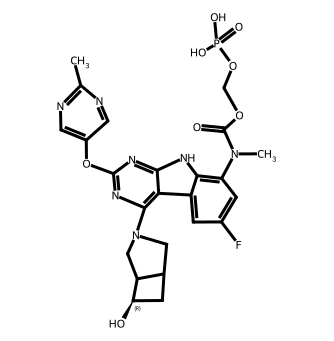 Cc1ncc(Oc2nc(N3CC4C[C@@H](O)C4C3)c3c(n2)[nH]c2c(N(C)C(=O)OCOP(=O)(O)O)cc(F)cc23)cn1